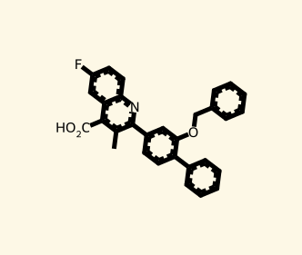 Cc1c(-c2ccc(-c3ccccc3)c(OCc3ccccc3)c2)nc2ccc(F)cc2c1C(=O)O